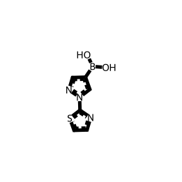 OB(O)c1cnn(-c2nccs2)c1